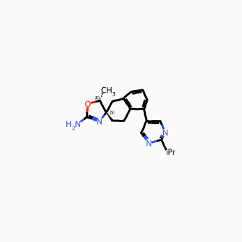 CC(C)c1ncc(-c2cccc3c2CC[C@@]2(C3)N=C(N)O[C@@H]2C)cn1